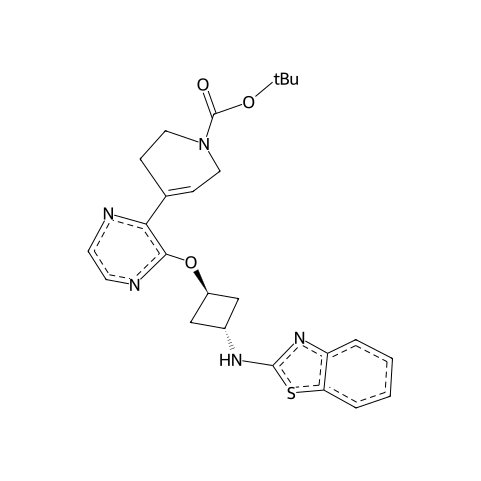 CC(C)(C)OC(=O)N1CC=C(c2nccnc2O[C@H]2C[C@H](Nc3nc4ccccc4s3)C2)CC1